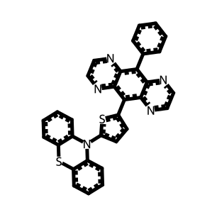 c1ccc(-c2c3nccnc3c(-c3ccc(N4c5ccccc5Sc5ccccc54)s3)c3nccnc23)cc1